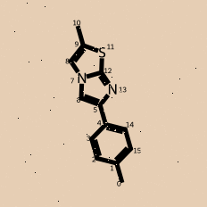 Cc1ccc(-c2cn3cc(C)sc3n2)cc1